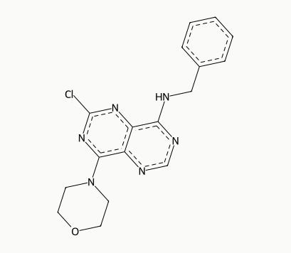 Clc1nc(N2CCOCC2)c2ncnc(NCc3ccccc3)c2n1